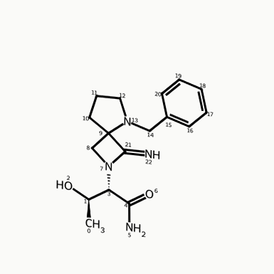 C[C@@H](O)[C@@H](C(N)=O)N1CC2(CCCN2Cc2ccccc2)C1=N